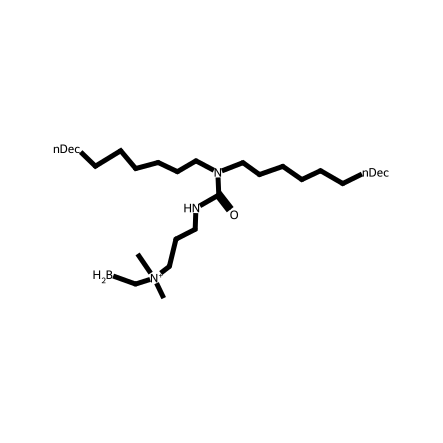 BC[N+](C)(C)CCCNC(=O)N(CCCCCCCCCCCCCCCC)CCCCCCCCCCCCCCCC